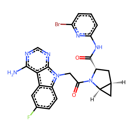 Nc1ncnc2c1c1cc(F)ccc1n2CC(=O)N1[C@@H]2C[C@@H]2C[C@H]1C(=O)Nc1cccc(Br)n1